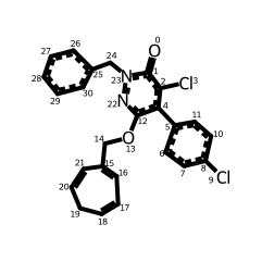 O=c1c(Cl)c(-c2ccc(Cl)cc2)c(OCC2=CC=CCC=C2)nn1Cc1ccccc1